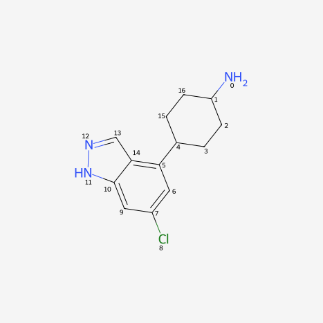 NC1CCC(c2cc(Cl)cc3[nH]ncc23)CC1